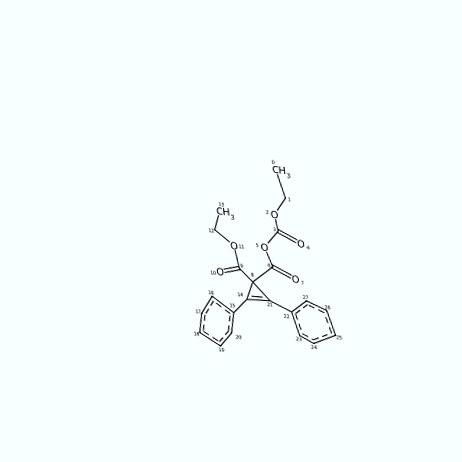 CCOC(=O)OC(=O)C1(C(=O)OCC)C(c2ccccc2)=C1c1ccccc1